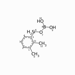 Cc1cccc([SiH2]OB(O)O)c1C